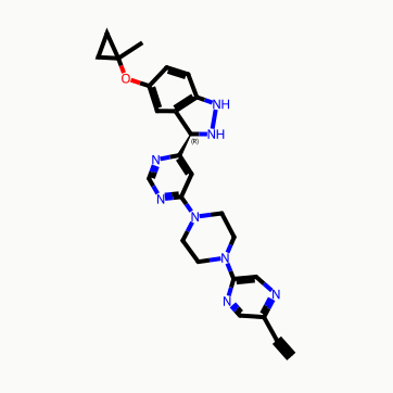 C#Cc1cnc(N2CCN(c3cc([C@@H]4NNc5ccc(OC6(C)CC6)cc54)ncn3)CC2)cn1